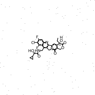 CC[C@@]1(O)C(=O)OCc2c1cc1n(c2=O)Cc2c-1nc1cc(F)c(Cl)c(F)c1c2CNC(=O)[C@H](O)C1CC1